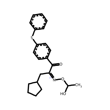 CC(O)O/N=C(/CC1CCCC1)C(=O)c1ccc(Sc2ccccc2)cc1